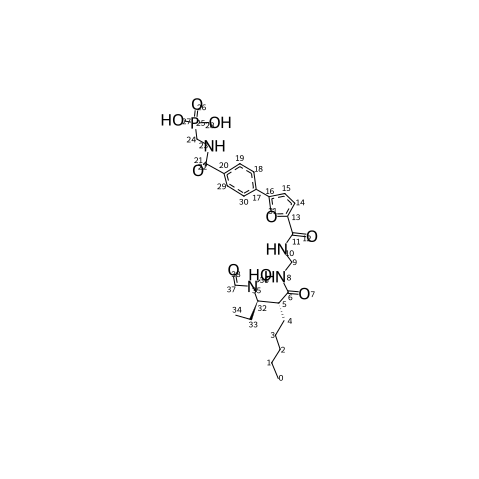 CCCCC[C@@H](C(=O)NCNC(=O)c1ccc(-c2ccc(C(=O)NCP(=O)(O)O)cc2)o1)[C@@H](CC)N(O)C=O